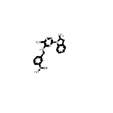 Cc1nnc(N2c3ccccc3CC2C)nc1NCc1cccc(B(O)O)c1